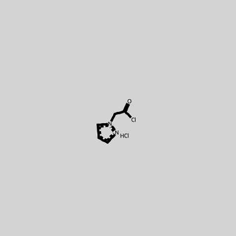 Cl.O=C(Cl)Cn1cccn1